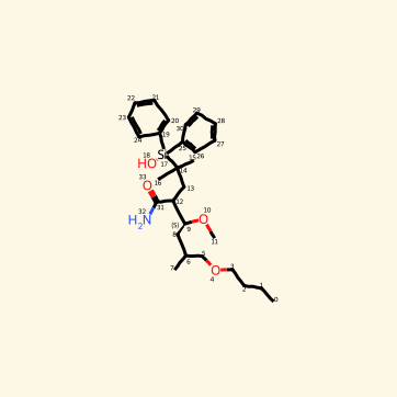 CCCCOCC(C)C[C@H](OC)C(CC(C)(C)[Si](O)(c1ccccc1)c1ccccc1)C(N)=O